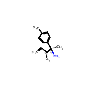 C=C[C@H](C)[C@](C)(N)c1ccc(C(F)(F)F)cc1